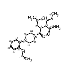 CCCC(C(N)=O)C(CC(C)C)C(=O)N1CCN(c2ccccc2OCC)CC1